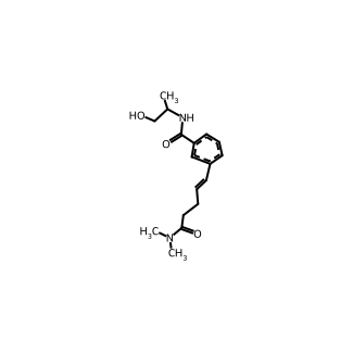 CC(CO)NC(=O)c1cccc(/C=C/CCC(=O)N(C)C)c1